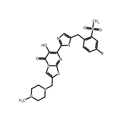 CN1CCN(Cc2cn3c(=O)c(O)c(-c4ncc(Cc5ccc(F)cc5S(C)(=O)=O)s4)nc3s2)CC1